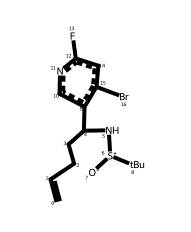 C=CCCC(N[S+]([O-])C(C)(C)C)c1cnc(F)cc1Br